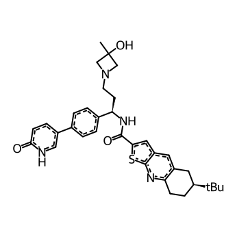 CC1(O)CN(CC[C@@H](NC(=O)c2cc3cc4c(nc3s2)CC[C@H](C(C)(C)C)C4)c2ccc(-c3ccc(=O)[nH]c3)cc2)C1